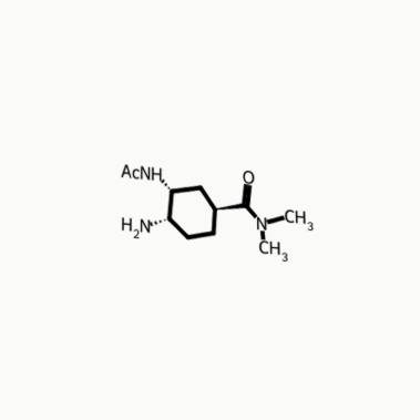 CC(=O)N[C@@H]1C[C@@H](C(=O)N(C)C)CC[C@@H]1N